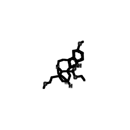 CCOC(=O)C12C[C@@H]3CC(CCOC)C1N(CCc1c2[nH]c2ccc(OC)cc12)C3